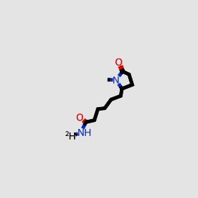 [2H]NC(=O)CCCCCC1CCC(=O)N1C